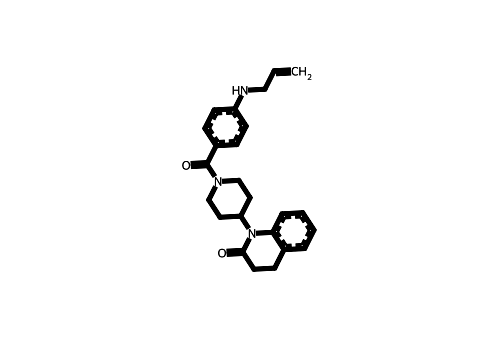 C=CCNc1ccc(C(=O)N2CCC(N3C(=O)CCc4ccccc43)CC2)cc1